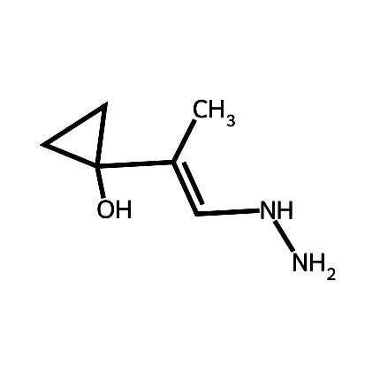 C/C(=C\NN)C1(O)CC1